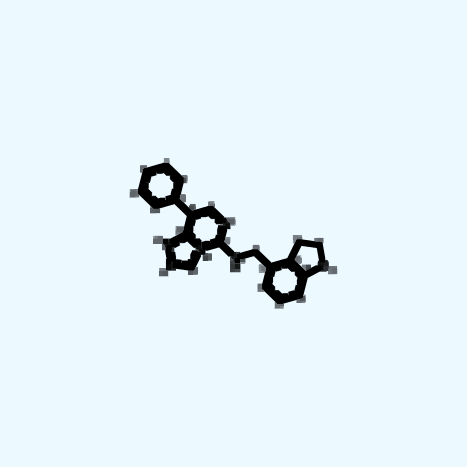 c1ccc(-c2cnc(NCc3cccc4c3CCO4)n3cnnc23)cc1